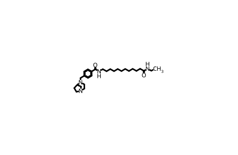 CCNC(=O)CCCCCCCCCCCNC(=O)c1ccc(CN2CCN3CCC2C3)cc1